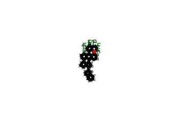 Fc1c(F)c(F)c2c(-c3c4ccccc4c(-c4ccc(-c5ccc6ccccc6c5)c5ccccc45)c4ccccc34)c(F)c(F)c(F)c2c1F